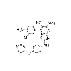 CSc1nc2nc(Nc3ccc(Oc4ccncc4)cc3)nn2c(-c2ccc(N)c(Cl)c2)c1C#N